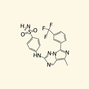 Cc1nc(-c2cccc(C(F)(F)F)c2)n2nc(Nc3ccc(S(N)(=O)=O)cc3)ncc12